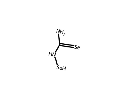 NC(=[Se])N[SeH]